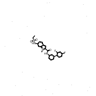 CCS(=O)(=O)Nc1ccc2cc(C(=O)Nc3cccc(-c4ccc(F)cc4F)c3)n(C)c2c1